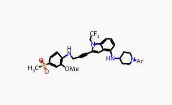 COc1cc(S(C)(=O)=O)ccc1NCC#Cc1cc2c(NC3CCN(C(C)=O)CC3)cccc2n1CC(F)(F)F